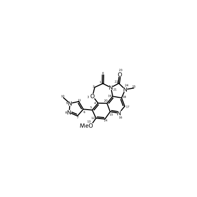 C=C1COc2c(-c3cnn(C)c3)c(OC)cc3ncc4c(c23)n1c(=O)n4C